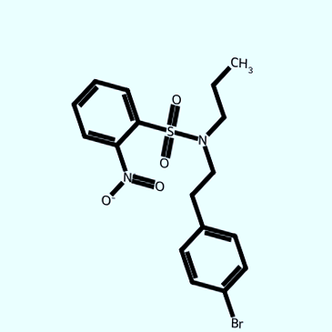 CCCN(CCc1ccc(Br)cc1)S(=O)(=O)c1ccccc1[N+](=O)[O-]